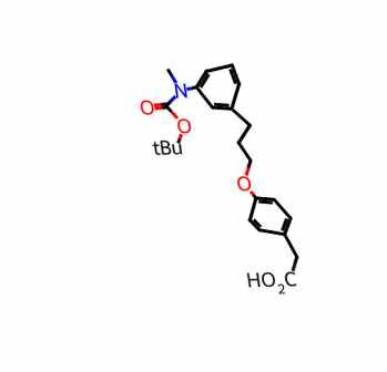 CN(C(=O)OC(C)(C)C)c1cccc(CCCOc2ccc(CC(=O)O)cc2)c1